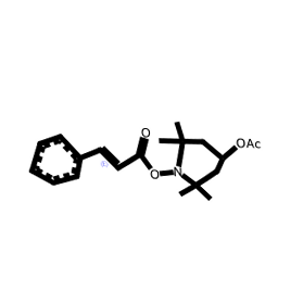 CC(=O)OC1CC(C)(C)N(OC(=O)/C=C/c2ccccc2)C(C)(C)C1